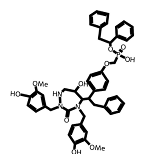 COc1cc(CN2NCC(O)C(C(Cc3ccccc3)c3ccc(OCP(=O)(O)OC(Cc4ccccc4)c4ccccc4)cc3)N(Cc3ccc(O)c(OC)c3)C2=O)ccc1O